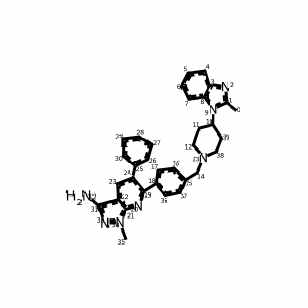 Cc1nc2ccccc2n1C1CCN(Cc2ccc(-c3nc4c(cc3-c3ccccc3)c(N)nn4C)cc2)CC1